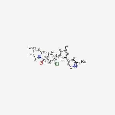 Cc1cc(-c2ccnc(C(C)(C)C)c2)cc(-c2ccc(C(=O)N3CCC(C)CC3)cc2Cl)c1